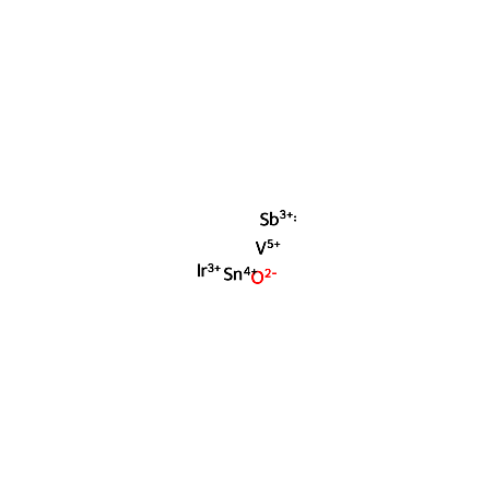 [Ir+3].[O-2].[Sb+3].[Sn+4].[V+5]